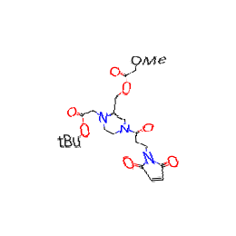 COCC(=O)OCC1CN(C(=O)CCN2C(=O)C=CC2=O)CCN1CC(=O)OC(C)(C)C